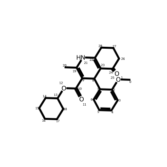 COc1ccccc1C1C(C(=O)OC2CCCCC2)=C(C)NC2=C1C(=O)CCC2